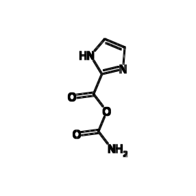 NC(=O)OC(=O)c1ncc[nH]1